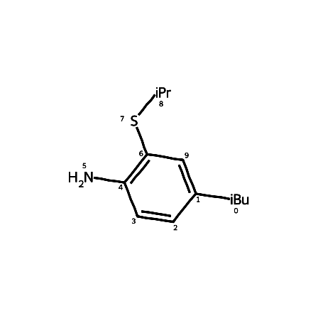 CCC(C)c1ccc(N)c(SC(C)C)c1